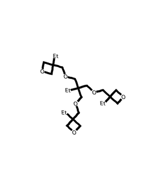 CCC1(COCC(CC)(COCC2(CC)COC2)COCC2(CC)COC2)COC1